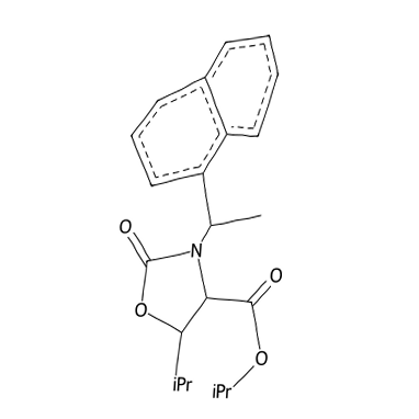 CC(C)OC(=O)C1C(C(C)C)OC(=O)N1C(C)c1cccc2ccccc12